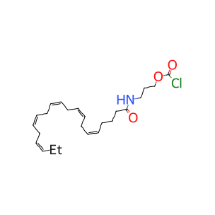 CC/C=C\C/C=C\C/C=C\C/C=C\C/C=C\CCCC(=O)NCCCOC(=O)Cl